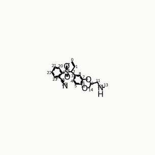 C=CC(c1ccc2c(c1)OC(CNC)CO2)S(=O)(=O)c1ccccc1C#N